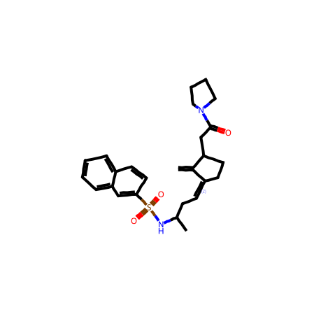 C=C1/C(=C\CC(C)NS(=O)(=O)c2ccc3ccccc3c2)CCC1CC(=O)N1CCCC1